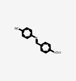 CCCCCCCCc1ccc(C=Nc2ccc(C#N)cc2)cc1